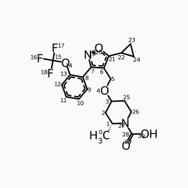 C[C@@H]1CC(OCc2c(-c3ccccc3OC(F)(F)F)noc2C2CC2)CCN1C(=O)O